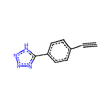 C#Cc1ccc(-c2nnn[nH]2)cc1